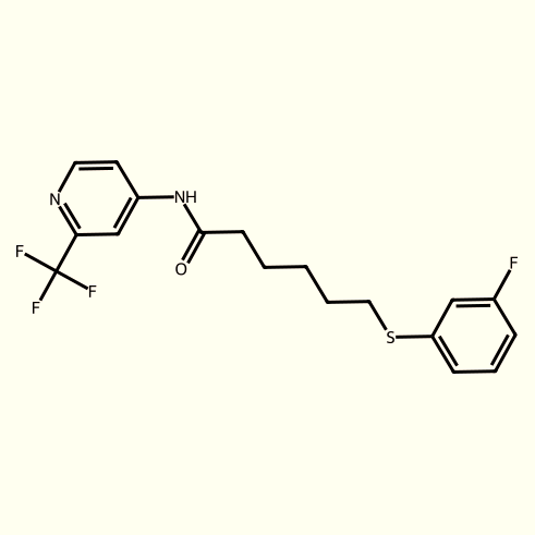 O=C(CCCCCSc1cccc(F)c1)Nc1ccnc(C(F)(F)F)c1